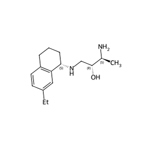 CCc1ccc2c(c1)[C@@H](NC[C@@H](O)[C@H](C)N)CCC2